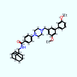 CCOc1cccc(-c2cc(CN3CCN(c4ccc(C(=O)NCC56CC7CC(CC(C7)C5)C6)cc4)CC3)cc(OCC)c2)c1